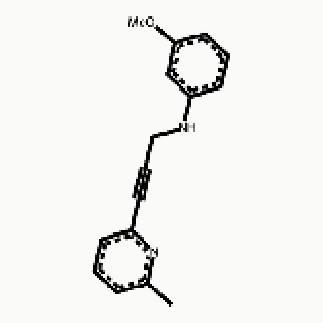 COc1cccc(NCC#Cc2cccc(C)n2)c1